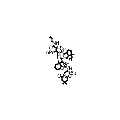 C=CCNC(=O)C(=O)C(CCC)NC(=O)[C@@H]1[C@H]2CCC(C)(C)[C@H]2CN1C(=O)[C@@H](NC(=O)N[C@H](CN1C(=O)CC(C)(C)CC1=O)C(C)(C)C)C1(C)CCCCC1